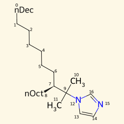 CCCCCCCCCCCCCCCC[C@H](CCCCCCCC)C(C)(C)n1ccnc1